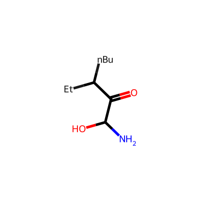 CCCCC(CC)C(=O)C(N)O